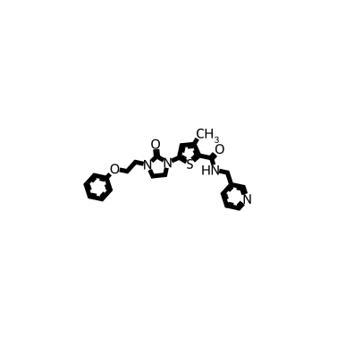 Cc1cc(N2CCN(CCOc3ccccc3)C2=O)sc1C(=O)NCc1cccnc1